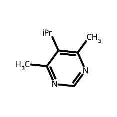 Cc1ncnc(C)c1C(C)C